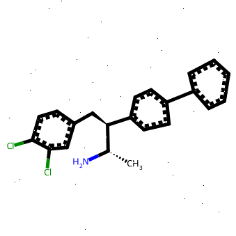 C[C@H](N)[C@@H](Cc1ccc(Cl)c(Cl)c1)c1ccc(-c2ccccc2)cc1